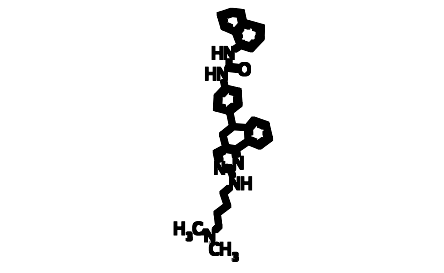 CN(C)CCCCNc1ncc2c(n1)-c1ccccc1C(c1ccc(NC(=O)Nc3cccc4ccccc34)cc1)C2